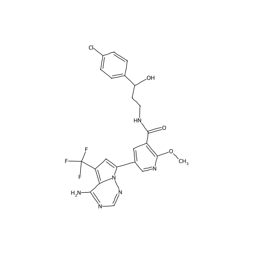 COc1ncc(-c2cc(C(F)(F)F)c3c(N)ncnn23)cc1C(=O)NCCC(O)c1ccc(Cl)cc1